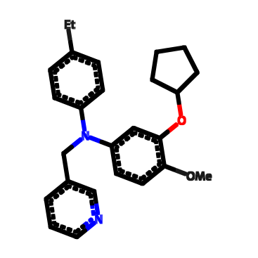 CCc1ccc(N(Cc2cccnc2)c2ccc(OC)c(OC3CCCC3)c2)cc1